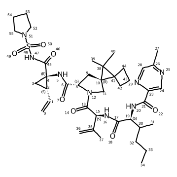 C=C[C@@H]1C[C@]1(NC(=O)[C@@H]1C[C@@]2(CN1C(=O)[C@@H](NC(=O)[C@@H](NC(=O)c1cnc(C)cn1)C(C)CCC)C(=C)C)C(C)(C)C21CCC1)C(=O)NS(=O)(=O)N1CCCC1